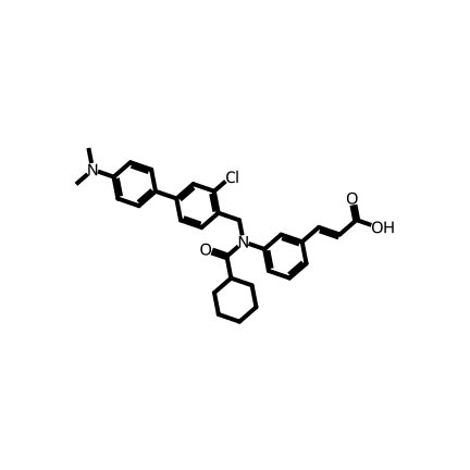 CN(C)c1ccc(-c2ccc(CN(C(=O)C3CCCCC3)c3cccc(/C=C/C(=O)O)c3)c(Cl)c2)cc1